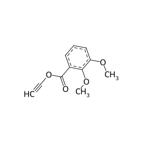 C#COC(=O)c1cccc(OC)c1OC